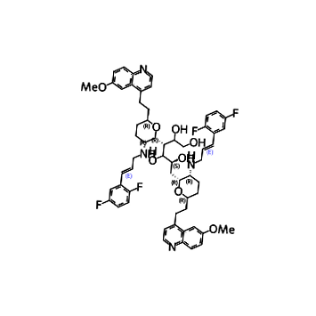 COc1ccc2nccc(CC[C@@H]3CC[C@@H](NC/C=C/c4cc(F)ccc4F)[C@@H](C(C(O)CO)C(O)[C@@H](O)C[C@H]4O[C@H](CCc5ccnc6ccc(OC)cc56)CC[C@H]4NC/C=C/c4cc(F)ccc4F)O3)c2c1